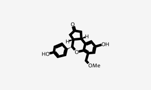 COCc1cc(O)cc2c1O[C@H](c1ccc(O)cc1)[C@@H]1CC(=O)C[C@H]21